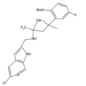 COc1ccc(F)cc1C(C)(C)CC(O)(NCc1cc2cc(Cl)ncc2[nH]1)C(F)(F)F